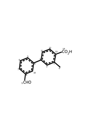 Cc1cc(-c2cccc(C=O)c2)ccc1C(=O)O